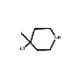 OC1(I)CCNCC1